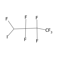 FC(I)C(F)(F)C(F)(F)C(F)(F)F